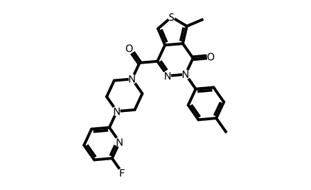 Cc1ccc(-n2nc(C(=O)N3CCN(c4cccc(F)n4)CC3)c3csc(C)c3c2=O)cc1